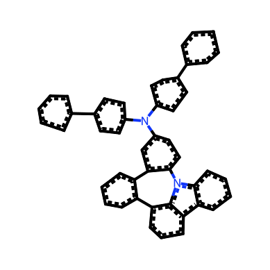 c1ccc(-c2ccc(N(c3ccc(-c4ccccc4)cc3)c3ccc4c(c3)-c3ccccc3-c3cccc5c6ccccc6n-4c35)cc2)cc1